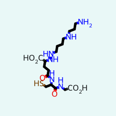 NCCCNCCCCNNC(CCC(=O)NC(CS)C(=O)NCC(=O)O)C(=O)O